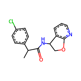 CC(C(=O)NC1COc2ncccc21)c1ccc(Cl)cc1